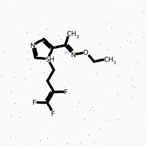 CCO/N=C(\C)C1=CN=C[SH]1CCC(F)=C(F)F